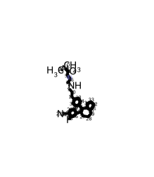 CN(C)C(=O)/C=C/CNCCCc1ccc(C2=C(c3ccc(C#N)c(F)c3)CCCc3ccccc32)cc1